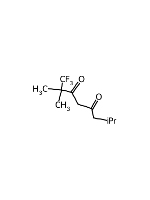 CC(C)CC(=O)CC(=O)C(C)(C)C(F)(F)F